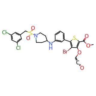 COC(=O)c1sc(-c2cccc(NC3CCN(S(=O)(=O)Cc4cc(Cl)cc(Cl)c4)CC3)c2)c(Br)c1OC=C=O